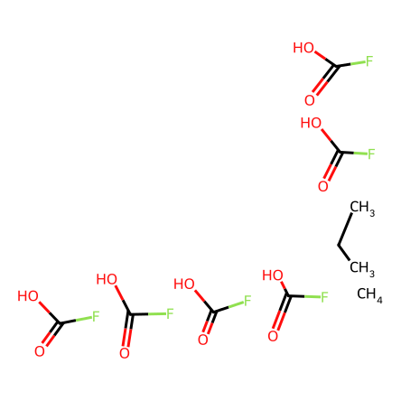 C.CCC.O=C(O)F.O=C(O)F.O=C(O)F.O=C(O)F.O=C(O)F.O=C(O)F